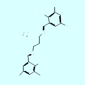 CC(=O)[O-].CC(=O)[O-].Cc1cc(C(C)C)cc(C=NCCCN=Cc2cc(C(C)C)cc(C)c2O)c1O.[Co+2]